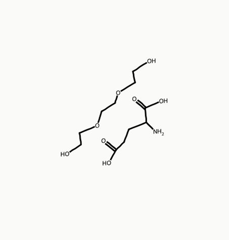 NC(CCC(=O)O)C(=O)O.OCCOCCOCCO